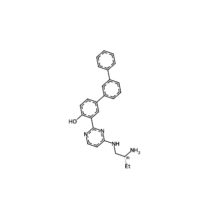 CC[C@@H](N)CNc1ccnc(-c2cc(-c3cccc(-c4ccccc4)c3)ccc2O)n1